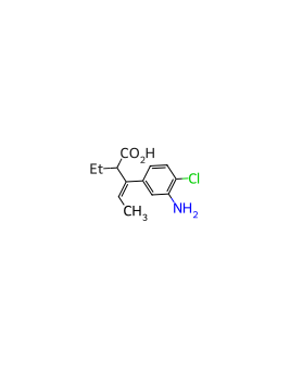 C/C=C(\c1ccc(Cl)c(N)c1)C(CC)C(=O)O